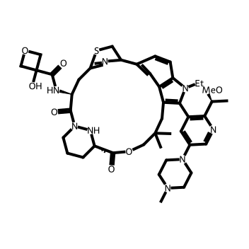 CCn1c(-c2cc(N3CCN(C)CC3)cnc2[C@H](C)OC)c2c3cc(ccc31)C1CSC(=N1)C[C@H](NC(=O)C1(O)COC1)C(=O)N1CCC[C@@](C)(N1)C(=O)OCC(C)(C)C2